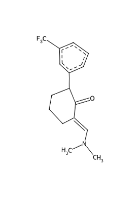 CN(C)/C=C1\CCCC(c2cccc(C(F)(F)F)c2)C1=O